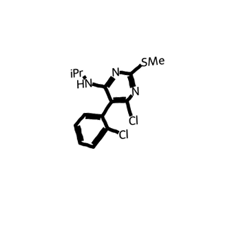 CSc1nc(Cl)c(-c2ccccc2Cl)c(NC(C)C)n1